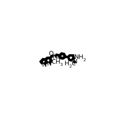 C=NC1(N)CCC(c2ccc(CNC(=O)c3cc4cccnc4nc3C)cc2)CC1